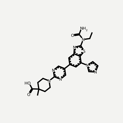 CCN(C(N)=O)c1nc2cc(-c3cnc(N4CCC(C)(C(=O)O)CC4)nc3)cc(-n3ccnc3)c2s1